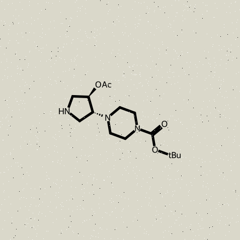 CC(=O)O[C@@H]1CNC[C@H]1N1CCN(C(=O)OC(C)(C)C)CC1